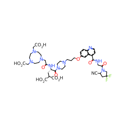 N#CC1CC(F)(F)CN1C(=O)CNC(=O)c1ccnc2ccc(OCCCN3CCN(C(=O)[C@H](CC(C(=O)O)C(=O)O)NC(=O)CN4CCN(CC(=O)O)CCN(CC(=O)O)CC4)CC3)cc12